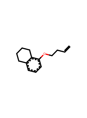 C=CCCOc1cccc2c1CCCC2